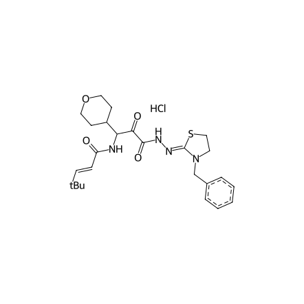 CC(C)(C)C=CC(=O)NC(C(=O)C(=O)NN=C1SCCN1Cc1ccccc1)C1CCOCC1.Cl